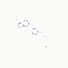 CCC1CN(C(=O)OC(C)(C)C)CCC1Nc1nc(Nc2ccn3c(C4CC4)cnc3c2)ncc1Cl